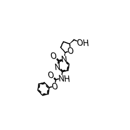 O=C(Nc1ccn([C@H]2CC[C@@H](CO)O2)c(=O)n1)Oc1ccccc1